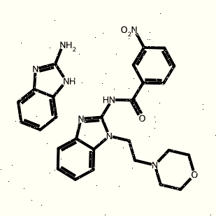 Nc1nc2ccccc2[nH]1.O=C(Nc1nc2ccccc2n1CCN1CCOCC1)c1cccc([N+](=O)[O-])c1